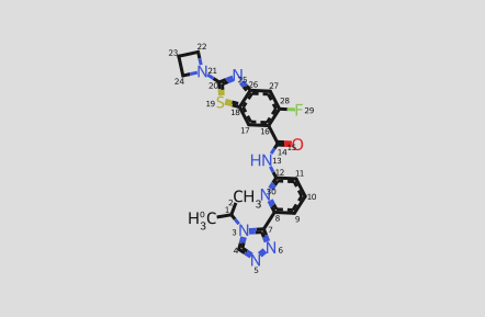 CC(C)n1cnnc1-c1cccc(NC(=O)c2cc3sc(N4CCC4)nc3cc2F)n1